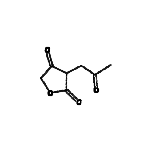 CC(=O)CC1C(=O)COC1=O